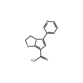 NC(=O)c1cc(-c2cccnc2)n2c1SCC2